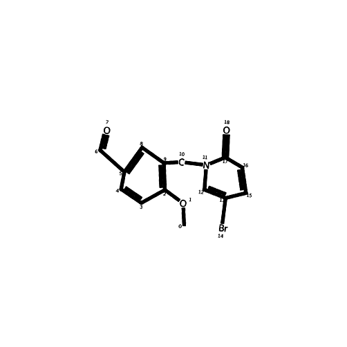 COc1ccc(C=O)cc1Cn1cc(Br)ccc1=O